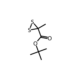 CC(C)(C)OC(=O)C1(C)SS1